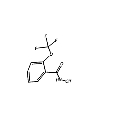 O=C(NO)c1ccccc1OC(F)(F)F